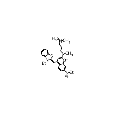 CCN(CC)c1ccc2c(/C=C3\Sc4ccccc4N3CC)cc(N(C)CCCN(C)C)[o+]c2c1